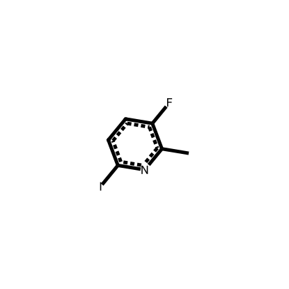 Cc1nc(I)ccc1F